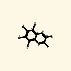 Cc1nc2c(Br)c(Cl)c(Cl)c(Br)c2nc1C